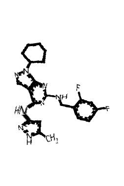 Cc1cc(Nc2nc(NCc3ccc(F)cc3F)nc3c2cnn3C2CCCCC2)n[nH]1